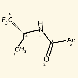 CC(=O)C(=O)N[C@H](C)C(F)(F)F